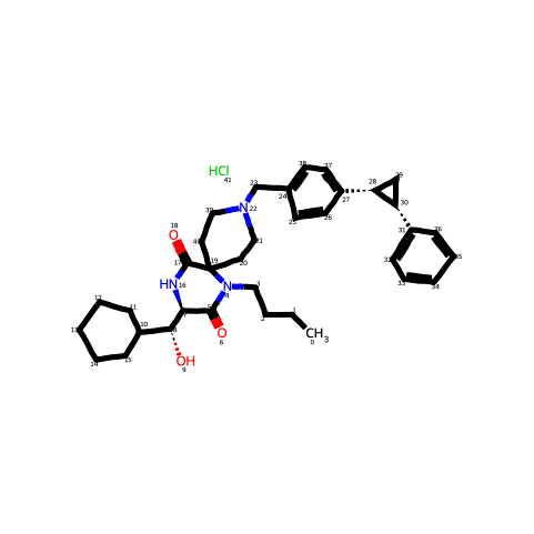 CCCCN1C(=O)[C@@H]([C@H](O)C2CCCCC2)NC(=O)C12CCN(Cc1ccc([C@@H]3C[C@@H]3c3ccccc3)cc1)CC2.Cl